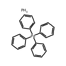 P.c1cc[c]([Pd]([c]2ccccc2)([c]2ccccc2)[c]2ccccc2)cc1